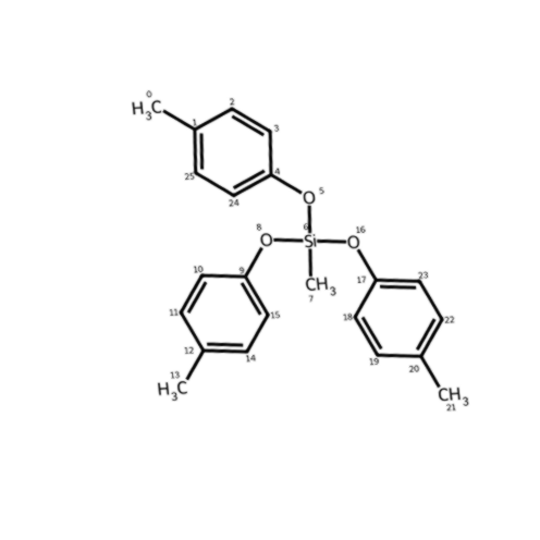 Cc1ccc(O[Si](C)(Oc2ccc(C)cc2)Oc2ccc(C)cc2)cc1